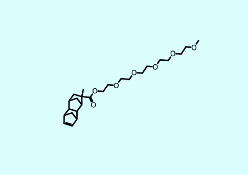 COCCOCCOCCOCCOCCOC(=O)C1(C)CC2CC1C1C3C=CC(C3)C21